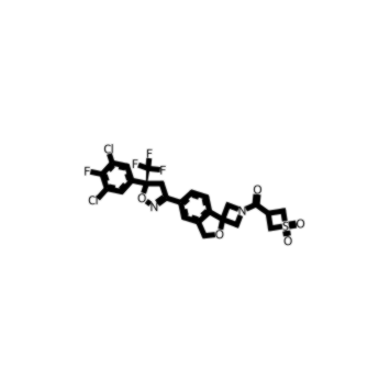 O=C(C1CS(=O)(=O)C1)N1CC2(C1)OCc1cc(C3=NO[C@@](c4cc(Cl)c(F)c(Cl)c4)(C(F)(F)F)C3)ccc12